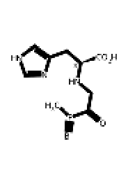 B#P(C)C(=O)CN[C@@H](Cc1c[nH]cn1)C(=O)O